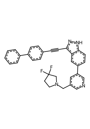 FC1(F)CCN(Cc2cncc(-c3ccc4[nH]nc(C#Cc5ccc(-c6ccccc6)cc5)c4c3)c2)C1